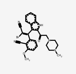 COc1cccc(/C(=C(\Br)C#N)c2c(C(=O)CN3CCN(C)CC3)[nH]c3ccccc23)c1C#N